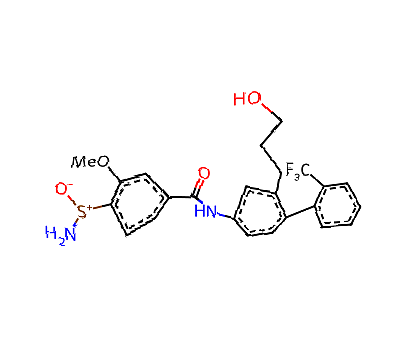 COc1cc(C(=O)Nc2ccc(-c3ccccc3C(F)(F)F)c(CCCO)c2)ccc1[S+](N)[O-]